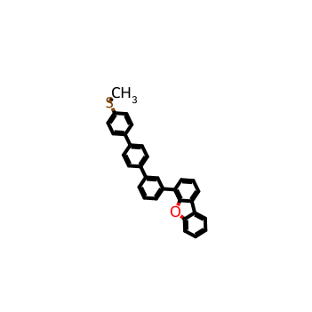 CSc1ccc(-c2ccc(-c3cccc(-c4cccc5c4oc4ccccc45)c3)cc2)cc1